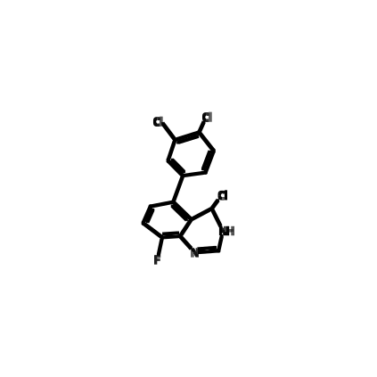 Fc1ccc(-c2ccc(Cl)c(Cl)c2)c2c1N=CNC2Cl